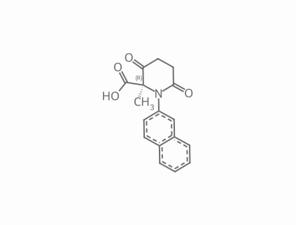 C[C@]1(C(=O)O)C(=O)CCC(=O)N1c1ccc2ccccc2c1